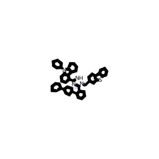 N=C(/N=C(\N=C\c1ccc2c(c1)sc1ccccc12)c1ccccc1-c1ccc(-c2ccccc2)cc1)c1cccc2c1c1ccccc1n2-c1ccccc1